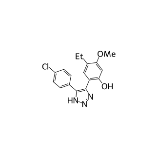 CCc1cc(-c2nn[nH]c2-c2ccc(Cl)cc2)c(O)cc1OC